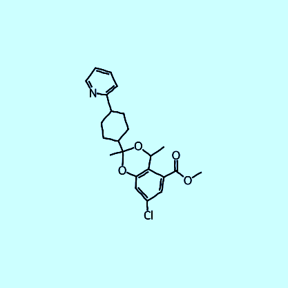 COC(=O)c1cc(Cl)cc2c1C(C)OC(C)(C1CCC(c3ccccn3)CC1)O2